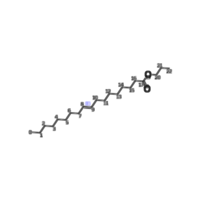 CCCCCCCC/C=C/CCCCCCCC(=O)OCCC